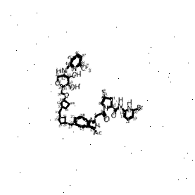 CC(=O)c1nn(CC(=O)N2C[C@H](F)C[C@H]2C(=O)NC2=CC=CC(Br)N2)c2ccc(CC3CCC(CC4CCC(OC[C@H]5OC[C@H](Nc6cccc(C(F)(F)F)n6)[C@@H](O)[C@H]5O)C4)C3)cc12